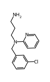 NCCCN(Cc1cccc(Cl)c1)c1ccccn1